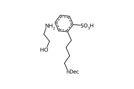 CCCCCCCCCCCCCCc1ccccc1S(=O)(=O)O.NCCO